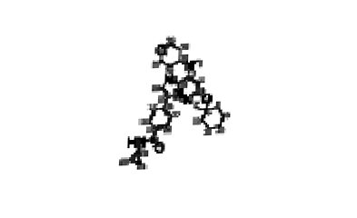 CN(c1cc(OC2(C)CCCCC2)nn2c(-c3ccc(C(=O)NC4CC4)cc3)cnc12)C1CCOCC1